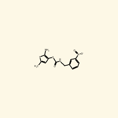 Cc1cc(OC(=O)NCc2cccc([N+](=O)[O-])c2)c(N)s1